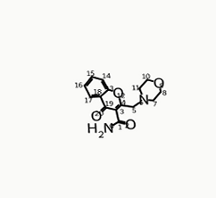 NC(=O)c1c(CN2CCOCC2)oc2ccccc2c1=O